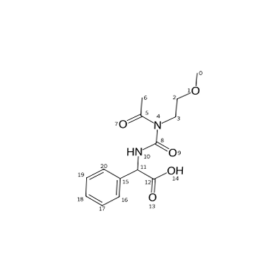 COCCN(C(C)=O)C(=O)NC(C(=O)O)c1ccccc1